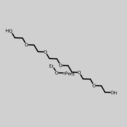 CCCCCOCC.OCCOCCOCCOCCOCCOCCO